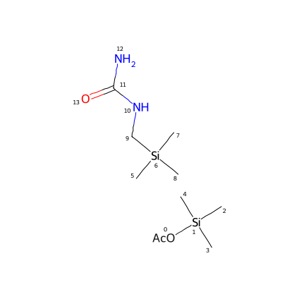 CC(=O)O[Si](C)(C)C.C[Si](C)(C)CNC(N)=O